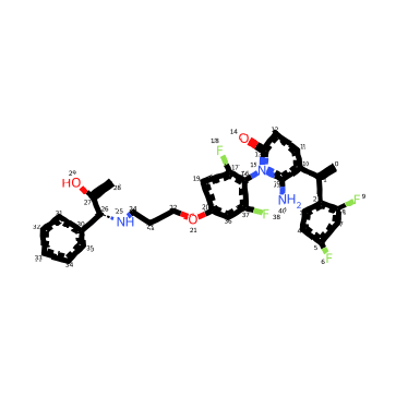 C=C(c1ccc(F)cc1F)c1ccc(=O)n(-c2c(F)cc(OCCCN[C@@H](C(=C)O)c3ccccc3)cc2F)c1N